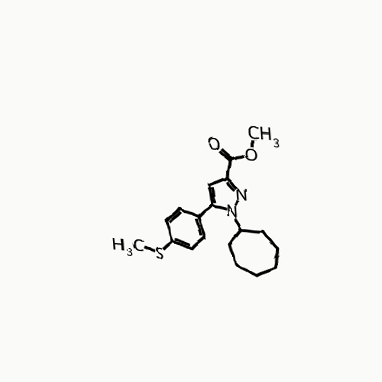 COC(=O)c1cc(-c2ccc(SC)cc2)n(C2CCCCCC2)n1